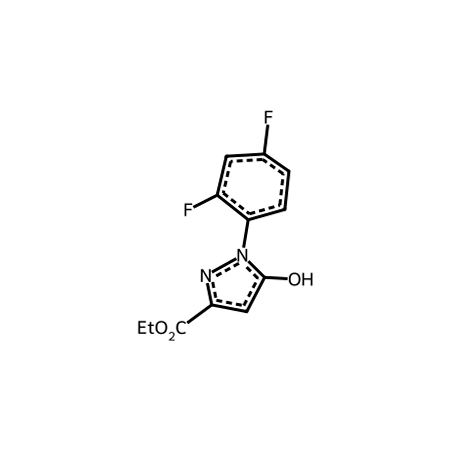 CCOC(=O)c1cc(O)n(-c2ccc(F)cc2F)n1